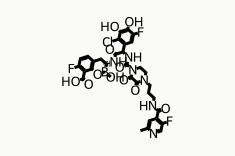 Cc1cc(C(=O)NCCCN2CCN(C(=O)NC(C(=O)N[C@H]3Cc4ccc(F)c(C(=O)O)c4OB3O)c3cc(F)c(O)c(O)c3Cl)C(=O)C2=O)c(F)cn1